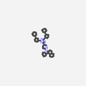 c1ccc(-c2cccc(-c3nc(-c4ccc(-n5c6ccccc6c6c7ccccc7ccc65)nc4)nc(-c4cccc(-c5ccccc5)c4)n3)c2)cc1